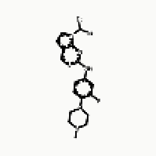 CCC(CC)n1ccc2cnc(Nc3ccc(N4CCN(C)CC4)c(F)c3)nc21